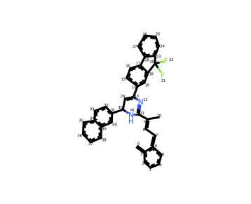 C=c1cccc/c1=C/C=C(\C)C1=NC(c2ccc3c(c2)C(F)(F)c2ccccc2-3)=CC(c2ccc3ccccc3c2)N1